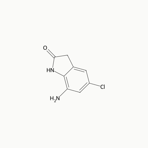 Nc1cc(Cl)cc2c1NC(=O)C2